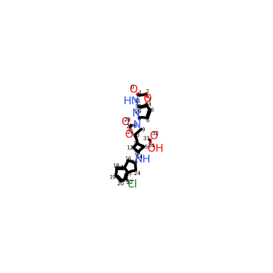 O=C1COc2ccc(N3CC(C4CC(NC5Cc6cccc(Cl)c6C5)C4)OC3=O)nc2N1.O=CO